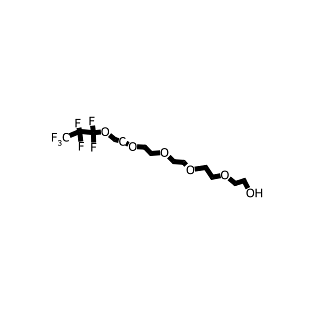 OCCOCCOCCOCCOCCOC(F)(F)C(F)(F)C(F)(F)F